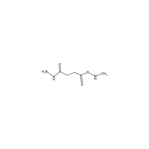 CNOC(=O)CCC(=O)NN